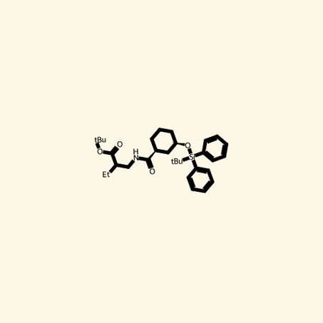 CCC(CNC(=O)[C@H]1CCC[C@@H](O[Si](c2ccccc2)(c2ccccc2)C(C)(C)C)C1)C(=O)OC(C)(C)C